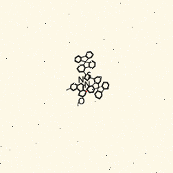 CCOc1ccc2c(c1)c1cc(C)ccc1c1nc3c(-c4cccc5c4-c4ccccc4C54c5ccccc5-c5ccccc54)sc(-c4cccc5c4-c4ccccc4C54c5ccccc5-c5ccccc54)c3nc21